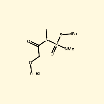 CCCCCCOCC(=O)N(C)P(=O)(NC)SC(C)CC